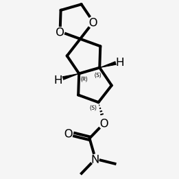 CN(C)C(=O)O[C@@H]1C[C@@H]2CC3(C[C@@H]2C1)OCCO3